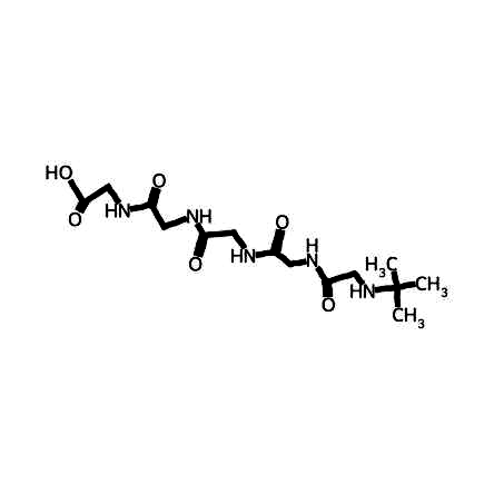 CC(C)(C)NCC(=O)NCC(=O)NCC(=O)NCC(=O)NCC(=O)O